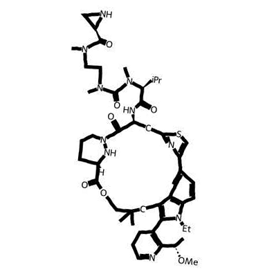 CCn1c(C2=C([C@H](C)OC)N=CCC2)c2c3cc(ccc31)-c1csc(n1)C[C@H](NC(=O)[C@H](C(C)C)N(C)C(=O)N(C)CCN(C)C(=O)[C@H]1CN1)C(=O)N1CCC[C@H](N1)C(=O)OCC(C)(C)C2